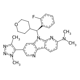 Cc1nnn(C)c1-c1cnc2c3ccc(N(C)C)nc3n([C@H](c3ccccc3F)C3CCOCC3)c2c1